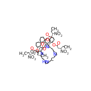 C=CC(CC(=O)Oc1ccccc1-c1c(-c2ccccc2OC(=O)CC(C=C)[N+](=O)[O-])c2c(-c3ccccc3OC(=O)CC(C=C)[N+](=O)[O-])c3nc(cc4ccc(cc5nc(cc1n2-c1ccccc1OC(=O)CC(C=C)[N+](=O)[O-])C=C5)[nH]4)C=C3)[N+](=O)[O-]